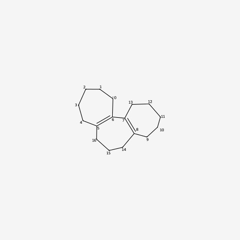 [CH]1CCCCC2=C1C1=C(CCCCC1)CCC2